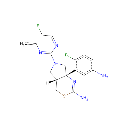 C=C/N=C(\N=C/CF)N1C[C@H]2CSC(N)=N[C@@]2(c2cc(N)ccc2F)C1